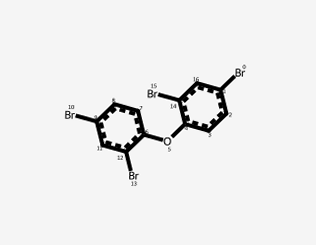 Brc1ccc(Oc2ccc(Br)cc2Br)c(Br)c1